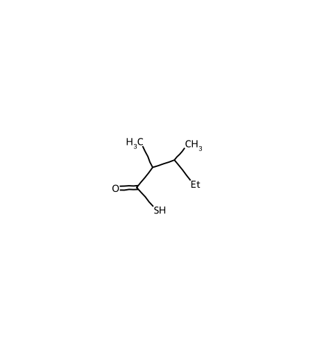 CCC(C)C(C)C(=O)S